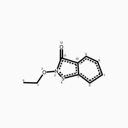 CCOn1sc2ccccc2c1=O